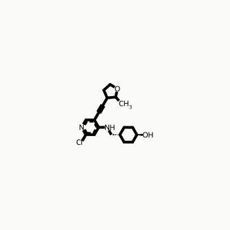 CC1OCCC1C#Cc1cnc(Cl)cc1NC[C@H]1CC[C@H](O)CC1